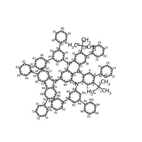 CC(C)(C)c1cc2c(cc1-c1ccccc1)B1c3cc(-c4ccccc4)c(C(C)(C)C)cc3N(c3cc(-c4ccccc4)cc(-c4ccccc4)c3)c3cc(-n4c5ccc(-c6ccccc6)cc5c5cc(-c6ccccc6)ccc54)cc(c31)N2c1cc(-c2ccccc2)cc(-c2ccccc2)c1